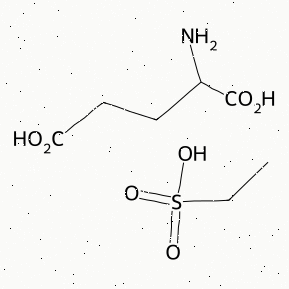 CCS(=O)(=O)O.NC(CCC(=O)O)C(=O)O